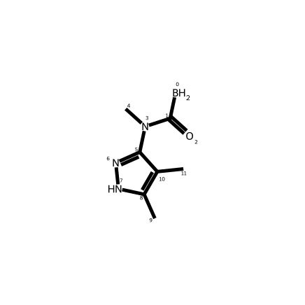 BC(=O)N(C)c1n[nH]c(C)c1C